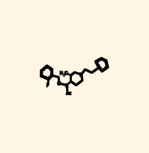 CC(=O)N(OCc1ccccc1F)[C@H]1CCN(CCc2ccccc2)C[C@H]1C